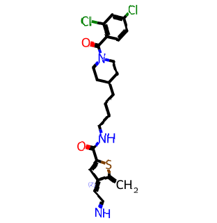 C=c1sc(C(=O)NCCCCC2CCN(C(=O)c3ccc(Cl)cc3Cl)CC2)c/c1=C/C=N